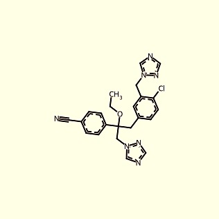 CCOC(Cc1ccc(Cl)c(Cn2cncn2)c1)(Cn1cncn1)c1ccc(C#N)cc1